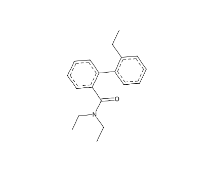 CCc1ccccc1-c1ccccc1C(=O)N(CC)CC